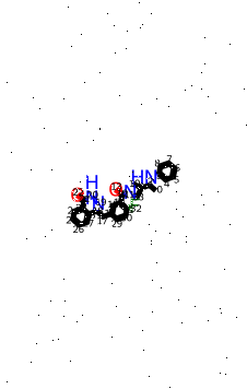 CC(Nc1ccccc1)C1CN(C(=O)c2cc(Cc3n[nH]c(=O)c4ccccc34)ccc2F)C1